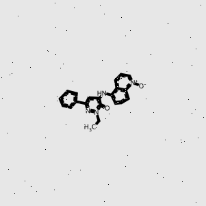 CCn1nc(-c2ccccc2)cc(Nc2cccc3c2ccc[n+]3[O-])c1=O